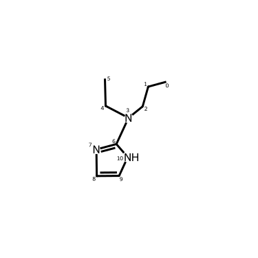 CCCN(CC)c1ncc[nH]1